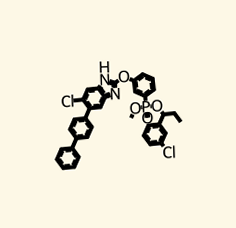 CCC(OP(=O)(OC)c1cccc(Oc2nc3cc(-c4ccc(-c5ccccc5)cc4)c(Cl)cc3[nH]2)c1)c1cccc(Cl)c1